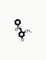 Cc1cc(Cl)ccc1C=[N+]([O-])c1ccccc1